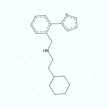 c1csc(-c2ccccc2CNCCC2CCCCC2)c1